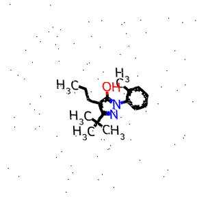 CCCc1c(C(C)(C)C)nn(-c2ccccc2C)c1O